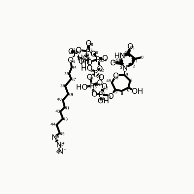 Cc1cn([C@H]2CC(O)CC(OP(=O)(O)OP(=O)(O)OP(=O)(O)OP(=O)(O)OP(=O)(O)OP(=O)(O)OCCCCCCCCCCCN=[N+]=[N-])CO2)c(=O)[nH]c1=O